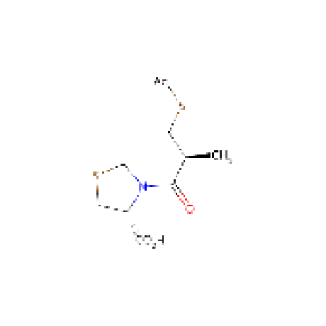 CC(=O)SC[C@@H](C)C(=O)N1CSC[C@H]1C(=O)O